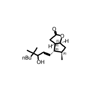 CCCCC(C)(C)C(O)C=C[C@@H]1[C@H]2CC(=O)O[C@H]2C[C@H]1C